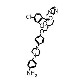 Nc1ccc(N2CCN(c3ccc(OC[C@@H]4CCO[C@@](Cn5ccnc5)(c5ccc(Cl)cc5Cl)O4)cc3)CC2)cc1